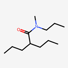 CCCC(CCC)C(=O)N(C)CCC